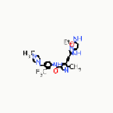 CCOC(=N)/C=C\c1ncc(C#Cc2cc(C(=O)Nc3ccc(CN4CCN(C)CC4)c(C(F)(F)F)c3)cnc2C)[nH]1